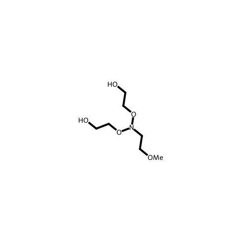 COCCN(OCCO)OCCO